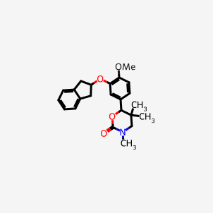 COc1ccc(C2OC(=O)N(C)CC2(C)C)cc1OC1Cc2ccccc2C1